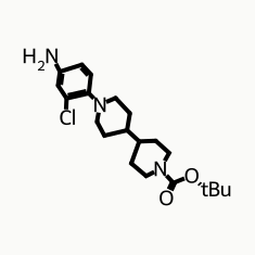 CC(C)(C)OC(=O)N1CCC(C2CCN(c3ccc(N)cc3Cl)CC2)CC1